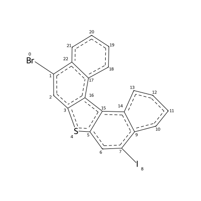 Brc1cc2sc3cc(I)c4ccccc4c3c2c2ccccc12